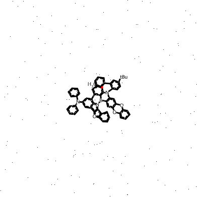 Cc1cc2c3c(c1)N(c1ccc(C(C)(C)C)cc1-c1ccccc1)c1cc4c(cc1B3n1c3c-2cc(N(c2ccccc2)c2ccccc2)cc3c2oc3ccccc3c21)Oc1ccccc1O4